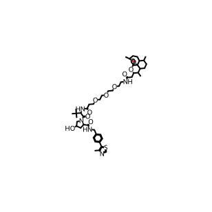 Cc1ncsc1-c1ccc(CNC(=O)C2CC(O)CN2C(=O)C(NC(=O)CCOCCOCCOCCNC(=O)CC2OC3OC4(C)CCC5C(C)CCC(C2C)C35OO4)C(C)(C)C)cc1